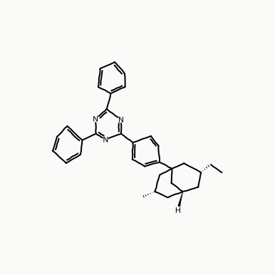 CC[C@@H]1C[C@@H]2C[C@H](C)CC(c3ccc(-c4nc(-c5ccccc5)nc(-c5ccccc5)n4)cc3)(C1)C2